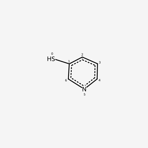 Sc1[c]ccnc1